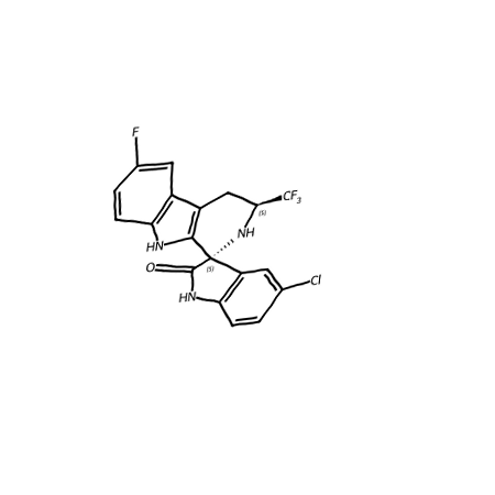 O=C1Nc2ccc(Cl)cc2[C@@]12N[C@H](C(F)(F)F)Cc1c2[nH]c2ccc(F)cc12